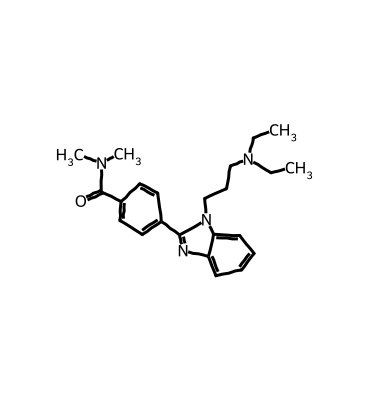 CCN(CC)CCCn1c(-c2ccc(C(=O)N(C)C)cc2)nc2ccccc21